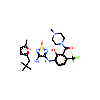 Cc1ccc([C@H](Nc2n[s+]([O-])nc2Nc2ccc(C(F)(F)F)c(C(=O)N3CCN(C)CC3)c2O)C(C)(C)C)o1